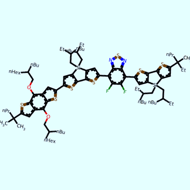 CCCCCCC(CCCC)COc1c2cc(C(C)(C)CCC)sc2c(OCC(CCCC)CCCCCC)c2cc(-c3cc4c(s3)-c3sc(-c5c(F)c(F)c(-c6cc7c(s6)-c6sc(C(C)(CC)CCC)cc6[Si]7(CC(CC)CCCC)CC(CC)CCCC)c6nsnc56)cc3[Si]4(CC(CC)CCCC)CC(CC)CCCC)sc12